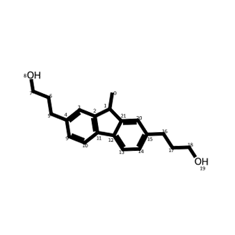 CC1c2cc(CCCO)ccc2-c2ccc(CCCO)cc21